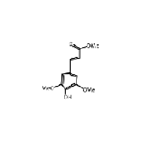 COC(=O)C=Cc1cc(OC)c(O)c(OC)c1